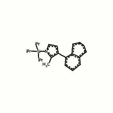 Cc1c(-c2cccc3ccccc23)ccn1[Si](C(C)C)(C(C)C)C(C)C